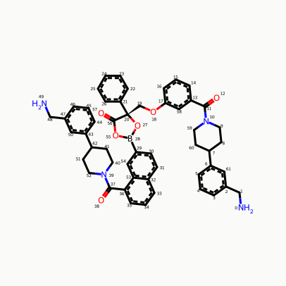 NCc1cccc(C2CCN(C(=O)c3cccc(OC[C@@]4(c5ccccc5)OB(c5ccc6cccc(C(=O)N7CCC(c8cccc(CN)c8)CC7)c6c5)OC4=O)c3)CC2)c1